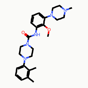 COc1c(NC(=O)N2CCN(c3cccc(C)c3C)CC2)cccc1N1CCN(C)CC1